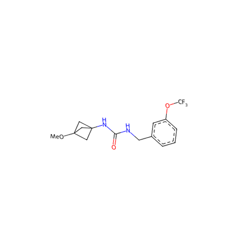 COC12CC(NC(=O)NCc3cccc(OC(F)(F)F)c3)(C1)C2